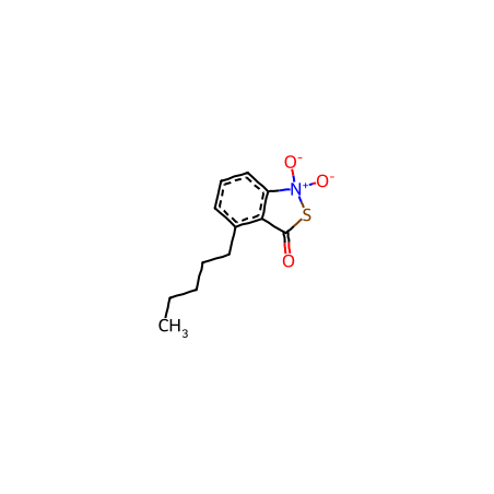 CCCCCc1cccc2c1C(=O)S[N+]2([O-])[O-]